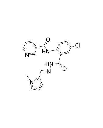 Cn1cccc1/C=N/NC(=O)c1cc(Cl)ccc1NC(=O)c1cccnc1